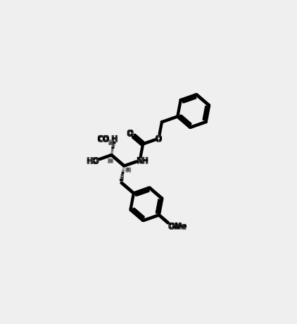 COc1ccc(C[C@@H](NC(=O)OCc2ccccc2)[C@H](O)C(=O)O)cc1